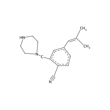 CC(C)=Cc1ccc(C#N)c(CN2CCNCC2)c1